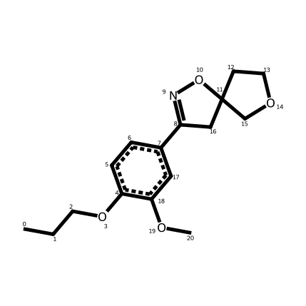 CCCOc1ccc(C2=NOC3(CCOC3)C2)cc1OC